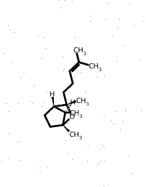 CC(C)=CCC[C@]1(C)O[C@]2(C)CC[C@H]1[C@H]2C